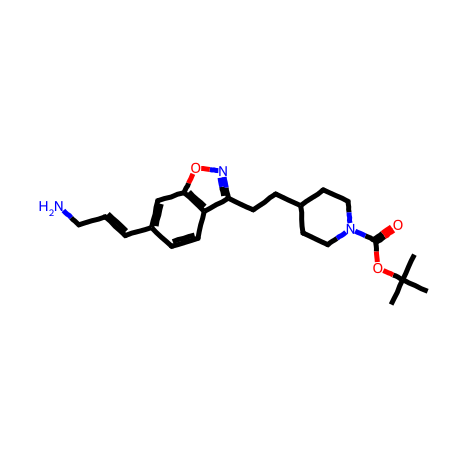 CC(C)(C)OC(=O)N1CCC(CCc2noc3cc(C=CCN)ccc23)CC1